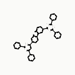 c1ccc(-c2cc(-c3ccc4c(c3)sc3ccc(-c5nc(-c6ccccc6)nc(-c6ccccc6)n5)cc34)nc(-c3ccccc3)n2)cc1